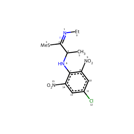 CC/N=C(/SC)C(C)Nc1c([N+](=O)[O-])cc(Cl)cc1[N+](=O)[O-]